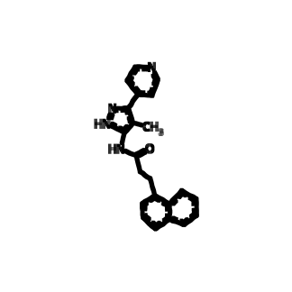 Cc1c(-c2ccncc2)n[nH]c1NC(=O)CCc1cccc2ccccc12